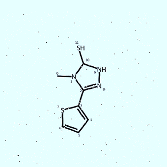 CN1C(c2cccs2)=NNC1S